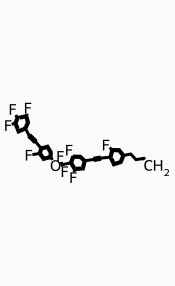 C=CCCc1ccc(C#Cc2cc(F)c(C(F)(F)Oc3ccc(C#Cc4cc(F)c(F)c(F)c4)c(F)c3)c(F)c2)c(F)c1